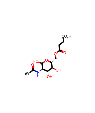 CCCC(=O)N[C@H]1C(O)O[C@H](COC(=O)CCC(=O)O)[C@@H](O)[C@@H]1O